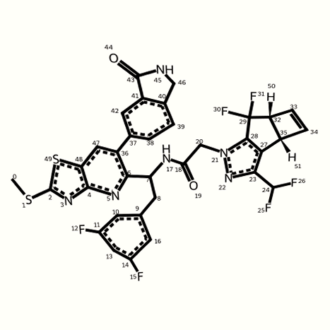 CSc1nc2nc(C(Cc3cc(F)cc(F)c3)NC(=O)Cn3nc(C(F)F)c4c3C(F)(F)[C@@H]3C=C[C@H]43)c(-c3ccc4c(c3)C(=O)NC4)cc2s1